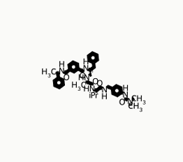 CC(C)[C@H](NC(=O)[C@H](C)NC[C@H](Cc1ccccc1)NC(=O)c1cccc(C(=O)N[C@H](C)c2ccccc2)c1)C(=O)NCc1ccc(NC(=O)N(C)C)cc1